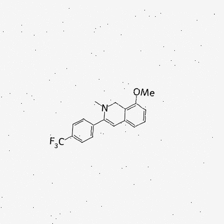 COc1cccc2c1CN(C)C(c1ccc(C(F)(F)F)cc1)=C2